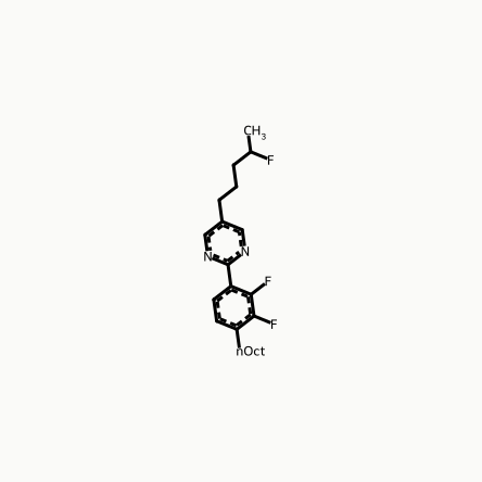 CCCCCCCCc1ccc(-c2ncc(CCCC(C)F)cn2)c(F)c1F